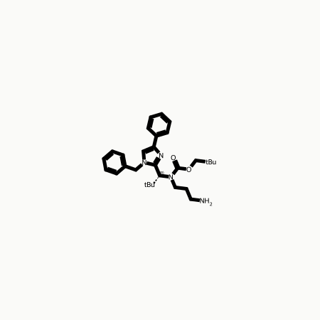 CC(C)(C)COC(=O)N(CCCN)[C@@H](c1nc(-c2ccccc2)cn1Cc1ccccc1)C(C)(C)C